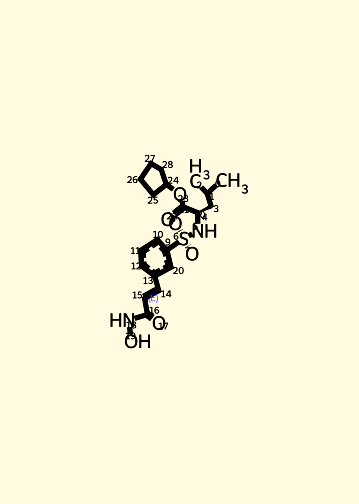 CC(C)C[C@@H](NS(=O)(=O)c1cccc(/C=C/C(=O)NO)c1)C(=O)OC1CCCC1